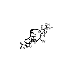 COC(=O)c1coc(-c2nc3oc2C24c5ccccc5NC2Oc2ccc(cc24)C[C@H](NC(=O)[C@@H](O)C(C)C)C(=O)N[C@H]3C(C)C)n1